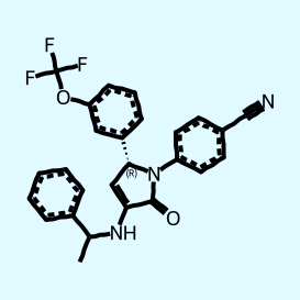 CC(NC1=C[C@H](c2cccc(OC(F)(F)F)c2)N(c2ccc(C#N)cc2)C1=O)c1ccccc1